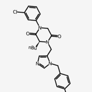 CCCC[C@H]1C(=O)N(c2cccc(Cl)c2)CC(=O)N1Cc1cncn1Cc1ccc(C#N)cc1